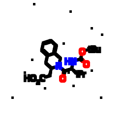 CC(C)[C@H](NC(=O)OC(C)(C)C)C(=O)N1Cc2ccccc2C[C@@H]1CC(=O)O